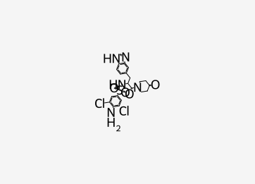 Nc1c(Cl)cc(S(=O)(=O)NC(Cc2ccc3[nH]cnc3c2)C(=O)N2CCC(=O)CC2)cc1Cl